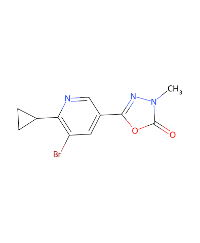 Cn1nc(-c2cnc(C3CC3)c(Br)c2)oc1=O